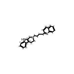 c1ccc2nc(CCCCN3CCc4c([nH]c5ccccc45)C3)ccc2c1